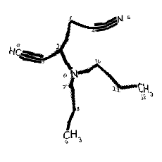 C#CC(CC#N)N(CCC)CCC